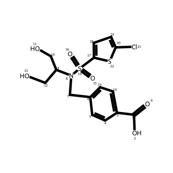 O=C(O)c1ccc(CN(C(CO)CO)S(=O)(=O)c2ccc(Cl)s2)cc1